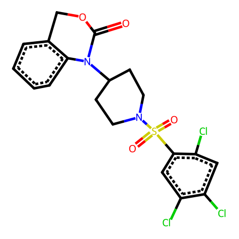 O=C1OCc2ccccc2N1C1CCN(S(=O)(=O)c2cc(Cl)c(Cl)cc2Cl)CC1